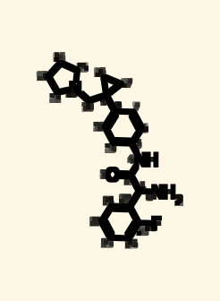 NC(C(=O)Nc1ccc(C2(CN3CCCC3)CC2)cc1)c1ccccc1F